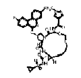 Cn1cc(C(=O)N[C@H]2CCCCC/C=C\[C@@H]3C[C@@]3(C(=O)NS(=O)(=O)C3CC3)NC(=O)[C@@H]3C[C@@H](Oc4nc5cc(F)ccc5c5cc(F)ccc45)CN3C2=O)cn1